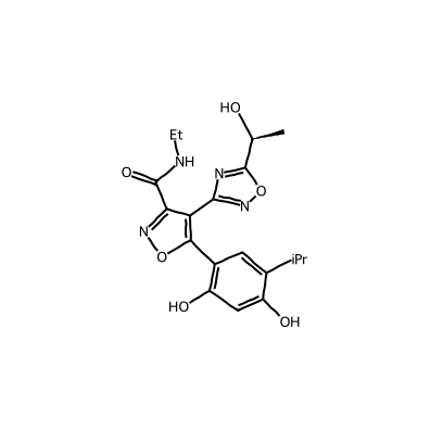 CCNC(=O)c1noc(-c2cc(C(C)C)c(O)cc2O)c1-c1noc([C@H](C)O)n1